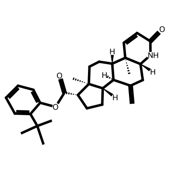 C=C1C[C@H]2NC(=O)C=C[C@]2(C)[C@H]2CC[C@]3(C)[C@@H](C(=O)Oc4ccccc4C(C)(C)C)CC[C@H]3[C@H]12